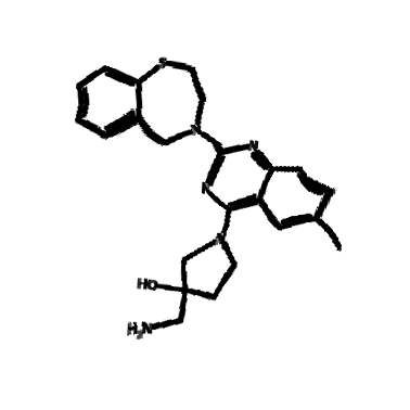 Cc1ccc2nc(N3CCSc4ccccc4C3)nc(N3CCC(O)(CN)C3)c2c1